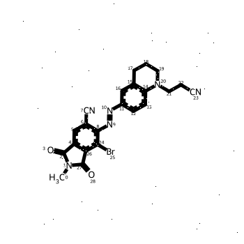 CN1C(=O)c2cc(C#N)c(/N=N/c3ccc4c(c3)CCCN4CCC#N)c(Br)c2C1=O